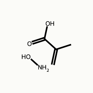 C=C(C)C(=O)O.NO